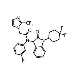 O=C1C(N(C(=O)Cn2ccnc2C(F)(F)F)c2cccc(F)c2)c2ccccc2N1C1CCC(F)(F)CC1